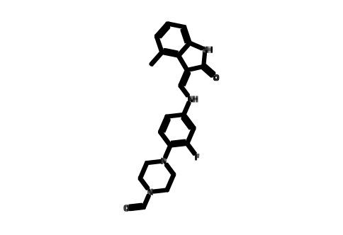 Cc1cccc2c1/C(=C/Nc1ccc(N3CCN(C=O)CC3)c(F)c1)C(=O)N2